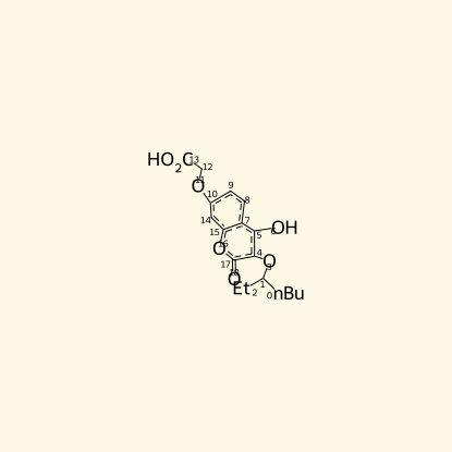 CCCCC(CC)Oc1c(O)c2ccc(OCC(=O)O)cc2oc1=O